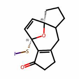 O=C1CCC2=C1[C@@]1(SI)C=C[C@]3(CCCC3C2)O1